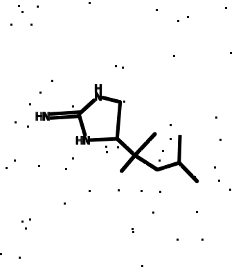 CC(C)CC(C)(C)C1CNC(=N)N1